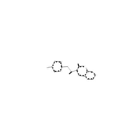 O=C(Cc1ccc(Cl)cc1)c1cc2ccccc2sc1=O